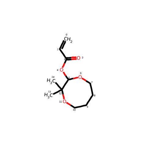 C=CC(=O)OC1OCCCCOC1(C)C